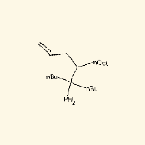 C=CCC(CCCCCCCC)C(P)(CCCC)CCCC